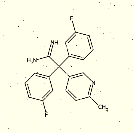 Cc1ccc(C(C(=N)N)(c2cccc(F)c2)c2cccc(F)c2)cn1